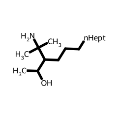 CCCCCCCCCCC(C(C)O)C(C)(C)N